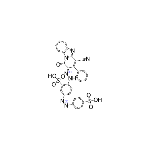 N#CC1=C(c2ccccc2)/C(=N\Nc2ccc(/N=N\c3ccc(S(=O)(=O)O)cc3)cc2S(=O)(=O)O)C(=O)n2c1nc1ccccc12